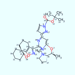 C[C@H](Oc1cc(-c2ccn(C(=O)OC(C)(C)C)n2)nc(-c2noc3c2CCC[C@@]32CCCCC2=O)n1)[C@@H]1CCCN1C